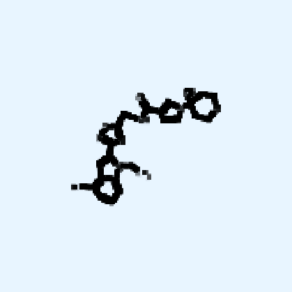 CC1(n2ccc(C(=O)NCc3nc(-c4cc5c(Br)cccc5n4CC(F)(F)F)no3)c2)CCOCC1